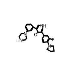 O=c1c(-c2cccc(N3CCNCC3)c2)c[nH]cc1-c1ccc(N2CCCC2)c(F)c1